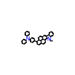 CCn1c2ccccc2c2cc3ccc4c(-c5ccc(N(c6ccccc6)c6ccccc6)cc5)ccc5ccc(c3c54)c21